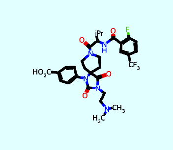 CC(C)C(NC(=O)c1cc(C(F)(F)F)ccc1F)C(=O)N1CCC2(CC1)C(=O)N(CCN(C)C)C(=O)N2c1ccc(C(=O)O)cc1